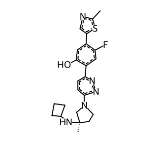 Cc1ncc(-c2cc(O)c(-c3ccc(N4CC[C@@](C)(NC5CCC5)C4)nn3)cc2F)s1